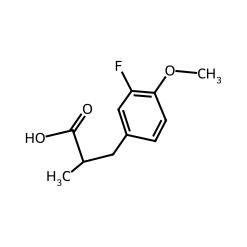 COc1ccc(CC(C)C(=O)O)cc1F